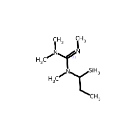 CCC([SiH3])N(C)/C(=N/C)N(C)C